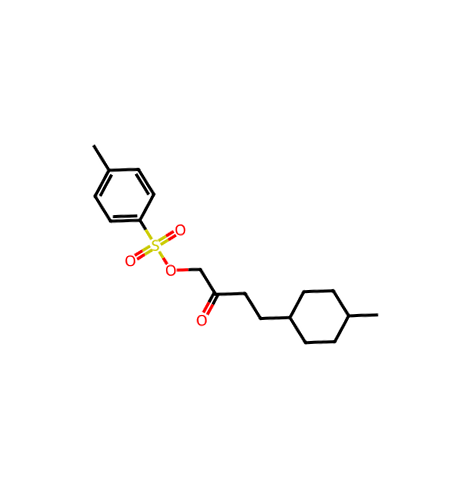 Cc1ccc(S(=O)(=O)OCC(=O)CCC2CCC(C)CC2)cc1